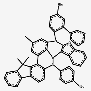 Cc1cc2c3c(c1)N(c1ccc(C(C)(C)C)cc1-c1ccccc1)c1oc4ccccc4c1B3N(c1ccc(C(C)(C)C)cc1)c1ccc3c(c1-2)C(C)(C)c1ccccc1-3